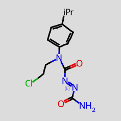 CC(C)c1ccc(N(CCCl)C(=O)/N=N/C(N)=O)cc1